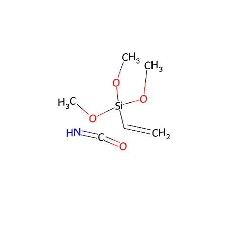 C=C[Si](OC)(OC)OC.N=C=O